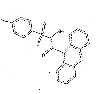 Cc1ccc(S(=O)(=O)N(C(=O)c2c3ccccc3nc3ccccc23)C(C)C)cc1